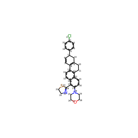 Clc1ccc(C2C=CC3=C(CCc4c3ccc3c(C5=NCCS5)c(N5CCOCC5)ccc43)C2)cc1